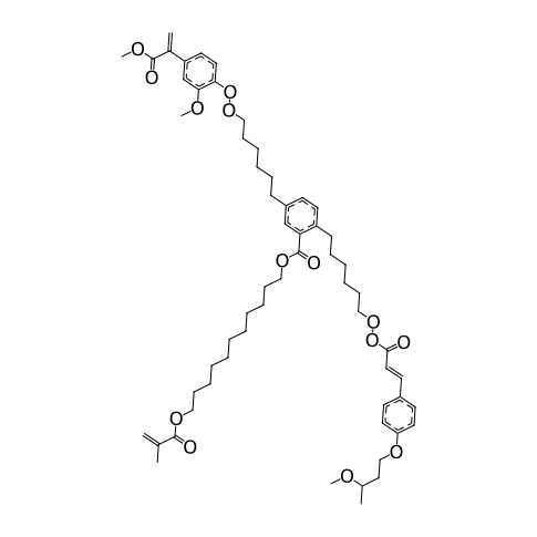 C=C(C)C(=O)OCCCCCCCCCCCOC(=O)c1cc(CCCCCCOOc2ccc(C(=C)C(=O)OC)cc2OC)ccc1CCCCCCOOC(=O)C=Cc1ccc(OCCC(C)OC)cc1